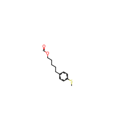 CSc1ccc(CCCCCO[C]=O)cc1